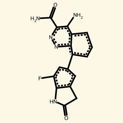 NC(=O)c1nnc2c(-c3cc(F)c4c(c3)CC(=O)N4)cccc2c1N